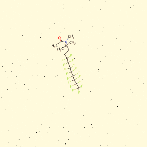 CC(=O)N(C)[Si](C)(C)CCC(F)(F)C(F)(F)C(F)(F)C(F)(F)C(F)(F)C(F)(F)C(F)(F)C(F)(F)F